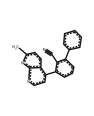 Cc1ccc2c(-c3cccc(-c4ccccc4)c3C#N)ccnc2n1